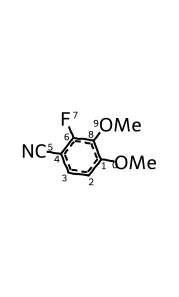 COc1ccc(C#N)c(F)c1OC